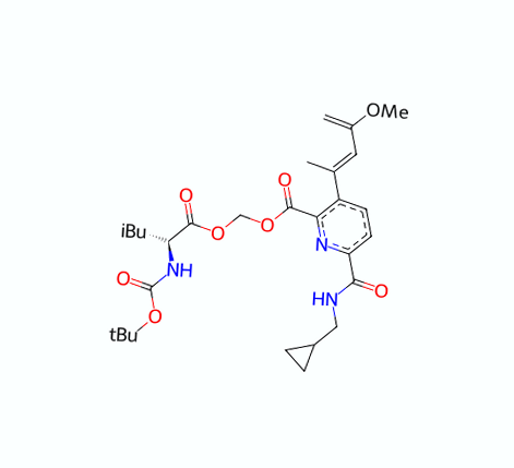 C=C(/C=C(\C)c1ccc(C(=O)NCC2CC2)nc1C(=O)OCOC(=O)[C@@H](NC(=O)OC(C)(C)C)[C@@H](C)CC)OC